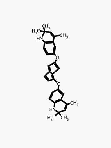 CC1=CC(C)(C)Nc2ccc(OC3=CC4=C(Oc5ccc6c(c5)C(C)=CC(C)(C)N6)C=CC4=C3)cc21